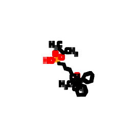 CCC(C)OP(=O)(O)CCC=CCO[Si](c1ccccc1)(c1ccccc1)C(C)(C)C